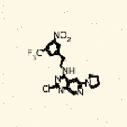 O=[N+]([O-])c1cc(CCNc2nc(Cl)nc3cnc(N4CCCC4)cc23)cc(C(F)(F)F)c1